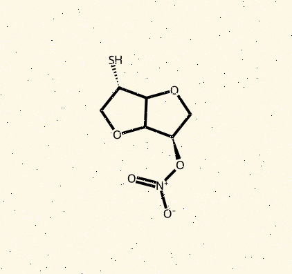 O=[N+]([O-])O[C@@H]1COC2C1OC[C@@H]2S